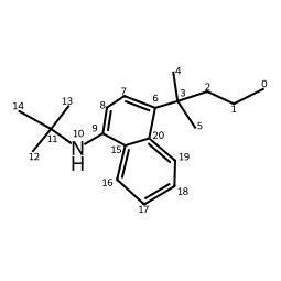 CCCC(C)(C)c1ccc(NC(C)(C)C)c2ccccc12